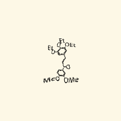 CCOc1cc(C=CC(=O)c2ccc(OC)c(OC)c2)cc(OCC)c1OCC